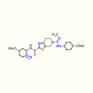 C/N=C(/Nc1ccc(OC)cc1)N1CCc2nc(C(=O)Nc3cc(OC)ccc3N)sc2C1